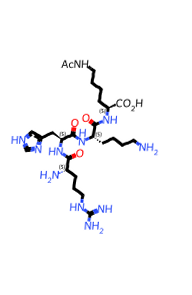 CC(=O)NCCCC[C@H](NC(=O)[C@H](CCCCN)NC(=O)[C@H](Cc1c[nH]cn1)NC(=O)[C@@H](N)CCCNC(=N)N)C(=O)O